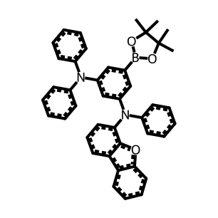 CC1(C)OB(c2cc(N(c3ccccc3)c3ccccc3)cc(N(c3ccccc3)c3cccc4c3oc3ccccc34)c2)OC1(C)C